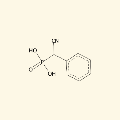 N#CC(c1ccccc1)P(=O)(O)O